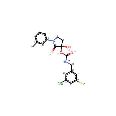 Cc1cccc(N2CC[C@](O)(OC(=O)NCc3cc(F)cc(Cl)c3)C2=O)c1